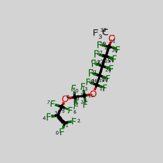 FC(F)=C(F)C(F)(F)OC(F)(F)C(F)(F)OC(F)(F)C(F)(F)C(F)(F)C(F)(F)C(F)(F)OC(F)(F)F